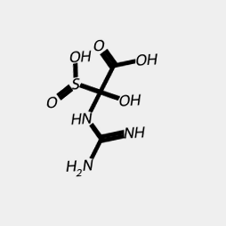 N=C(N)NC(O)(C(=O)O)S(=O)O